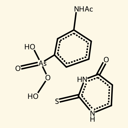 CC(=O)Nc1cccc([As](=O)(O)OO)c1.O=c1cc[nH]c(=S)[nH]1